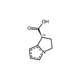 O=C(O)[C@H]1CCn2cccc21